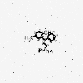 Cc1ccc(O)c([C@H](CCN(C(C)C)C(C)C)C2=CC=CCC2)c1